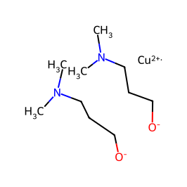 CN(C)CCC[O-].CN(C)CCC[O-].[Cu+2]